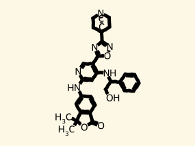 CC1(C)OC(=O)c2ccc(Nc3cc(NC(CO)c4ccccc4)c(-c4nc(C56CCN(CC5)CC6)no4)cn3)cc21